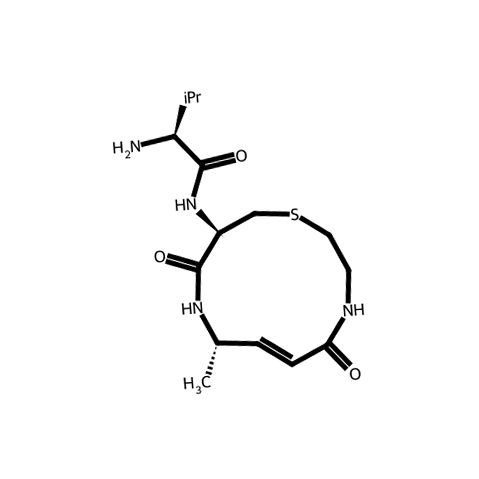 CC(C)[C@H](N)C(=O)N[C@H]1CSCCNC(=O)/C=C/[C@H](C)NC1=O